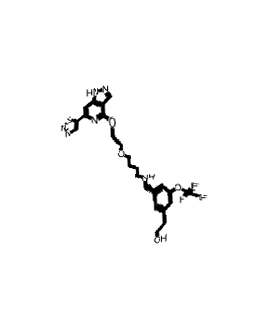 OCCc1cc(CNCCCCOCCOc2nc(-c3cnns3)cc3[nH]ncc23)cc(OC(F)(F)F)c1